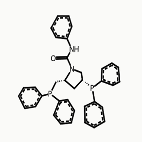 O=C(Nc1ccccc1)N1C[C@H](P(c2ccccc2)c2ccccc2)C[C@@H]1CP(c1ccccc1)c1ccccc1